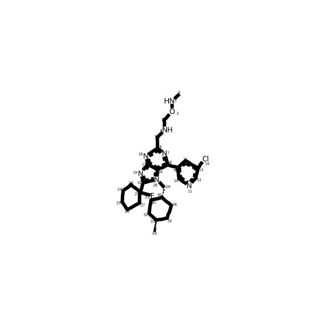 CNOCNCc1nc(-c2cncc(Cl)c2)c2c(n1)nc(C1(F)CCCCC1)n2C[C@H]1CC[C@H](C)CC1